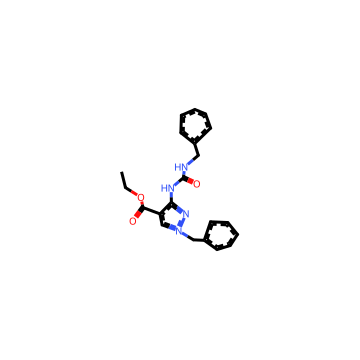 CCOC(=O)c1cn(Cc2ccccc2)nc1NC(=O)NCc1ccccc1